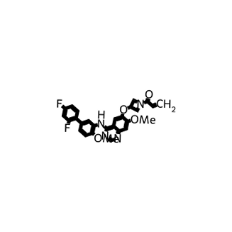 C=CC(=O)N1CC(Oc2cc3c(Nc4cc(-c5ccc(F)cc5F)ccc4OC)ncnc3cc2OC)C1